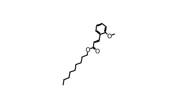 CCCCCCCCCOC(=O)/C=C/c1ccccc1OC